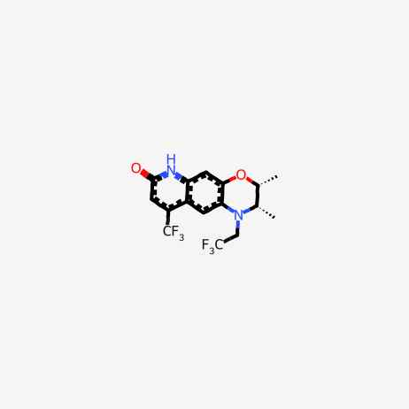 C[C@H]1Oc2cc3[nH]c(=O)cc(C(F)(F)F)c3cc2N(CC(F)(F)F)[C@H]1C